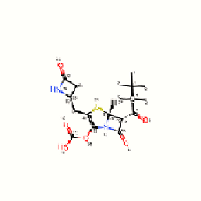 CC(C)(C)[Si](C)(C)C(=O)[C@@H]1C(=O)N2C(OC(=O)O)=C(C[C@@H]3CC(=O)N3)S[C@H]12